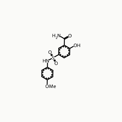 COc1ccc(NS(=O)(=O)c2ccc(O)c(C(N)=O)c2)cc1